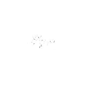 CCC1CCC[C@@H](O[C@@H]2OC(CO)[C@H](O)C(O[C@@H](CC3CCCCC3)C(=O)O)C2NC(C)=O)C1OC1O[C@@H](C(F)(F)F)C(O)C(O)[C@@H]1O